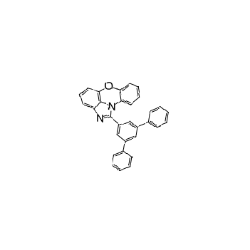 c1ccc(-c2cc(-c3ccccc3)cc(-c3nc4cccc5c4n3-c3ccccc3O5)c2)cc1